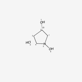 Cl.O[C@H]1CCN(O)C1